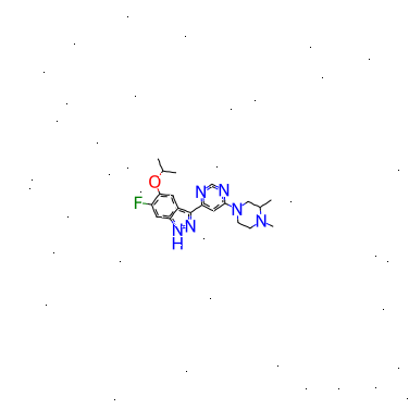 CC(C)Oc1cc2c(-c3cc(N4CCN(C)C(C)C4)ncn3)n[nH]c2cc1F